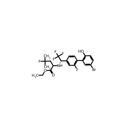 CCOC(=O)C(CC(C)(C)F)N[C@@H](c1ccc(-c2cc(Br)ccc2O)c(F)c1)C(F)(F)F